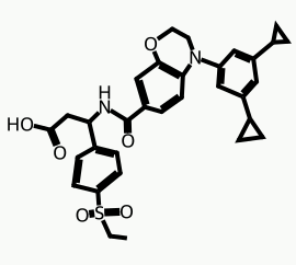 CCS(=O)(=O)c1ccc(C(CC(=O)O)NC(=O)c2ccc3c(c2)OCCN3c2cc(C3CC3)cc(C3CC3)c2)cc1